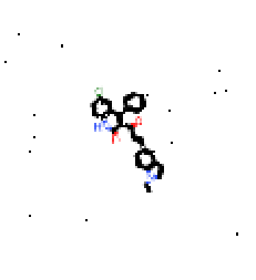 CCn1ccc2cc(/C=C/C(=O)c3c(-c4ccccc4)c4cc(Cl)ccc4[nH]c3=O)ccc21